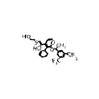 C[C@@H](OC1OC=CC(C(O)CSCCO)=C1C1C=CCCC1)c1cc(C(F)(F)F)cc(C(F)(F)F)c1